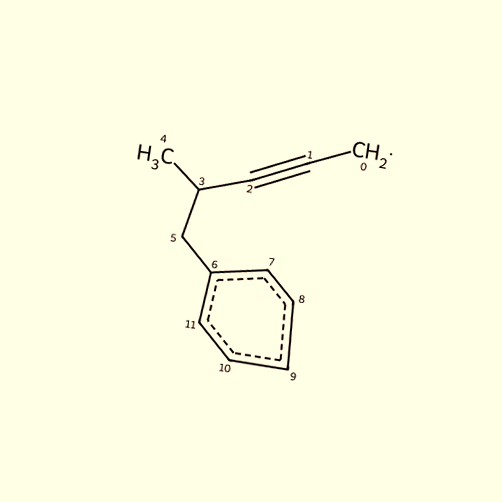 [CH2]C#CC(C)Cc1ccccc1